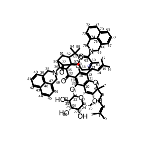 CC(C)=CCCC1(C)C=Cc2c(c(CC=C(C)C)c3c(c2O[C@@H]2O[C@H](CO)[C@@H](O)[C@H](O)[C@H]2O)C(=O)C2C(N4Cc5cccc6cccc(c56)C4)C4CC5C(C)(C)OC(C/C=C(/C)C(=O)N6Cc7cccc8cccc(c78)C6)(C4=O)C25O3)O1